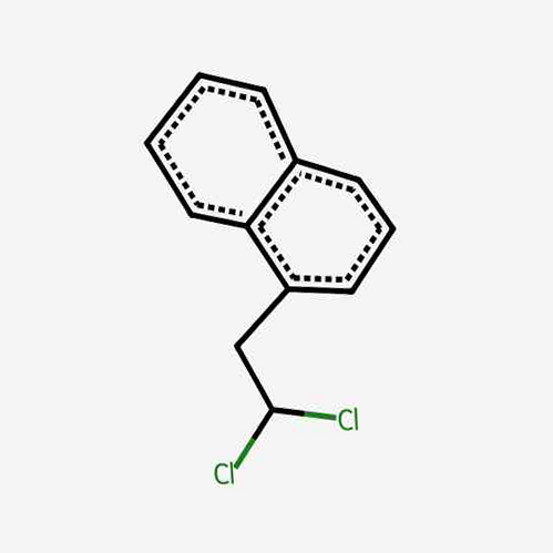 ClC(Cl)Cc1cccc2ccccc12